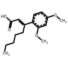 CCCCC/C(=C\C(=O)O)c1ccc(OC)cc1OC